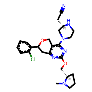 CN1CCC[C@H]1COc1nc2c(c(N3CCN[C@@H](CC#N)C3)n1)COC(c1ccccc1Cl)C2